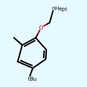 CCCCCCCCOc1ccc(C(C)(C)C)cc1C